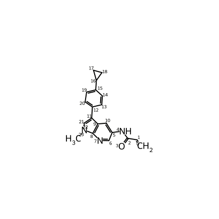 C=CC(=O)Nc1cnc2c(c1)c(-c1ccc(C3CC3)cc1)cn2C